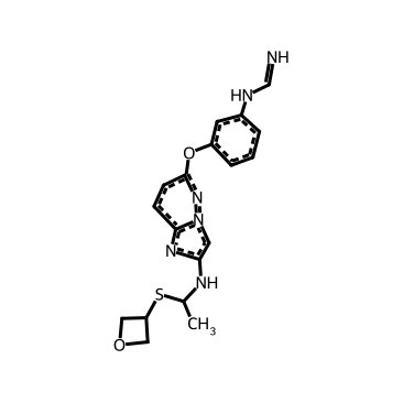 CC(Nc1cn2nc(Oc3cccc(NC=N)c3)ccc2n1)SC1COC1